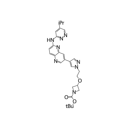 CC(C)c1cnnc(Nc2ccc3ncc(-c4cnn(CCOC5CN(C(=O)OC(C)(C)C)C5)c4)cc3n2)c1